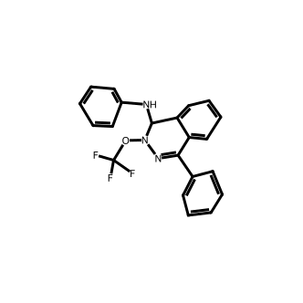 FC(F)(F)ON1N=C(c2ccccc2)c2ccccc2C1Nc1ccccc1